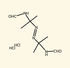 CC(C)(N=NC(C)(C)NC=O)NC=O.Cl.Cl